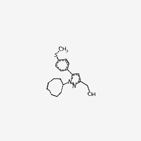 CSc1ccc(-c2cc(CO)nn2C2CCCCCCC2)cc1